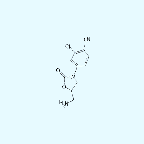 N#Cc1ccc(N2CC(CN)OC2=O)cc1Cl